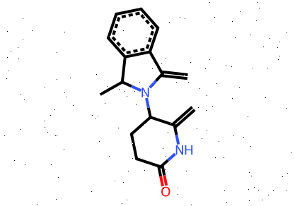 C=C1NC(=O)CCC1N1C(=C)c2ccccc2C1C